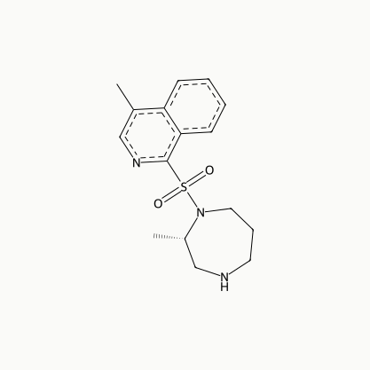 Cc1cnc(S(=O)(=O)N2CCCNC[C@@H]2C)c2ccccc12